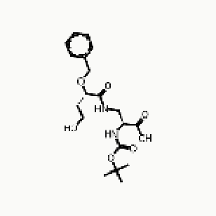 CC(C)(C)OC(=O)N[C@@H](CNC(=O)[C@H](CCO)OCc1ccccc1)C(=O)O